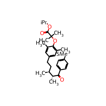 CSc1ccc(C(=O)[C@H](C)[C@@H](C)CCc2cc(C)c(OC(C)(C)C(=O)OC(C)C)c(C)c2)cc1